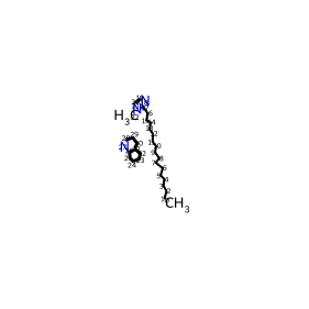 CCCCCCCCCCCCCCCCCc1nccn1C.c1ccc2ncccc2c1